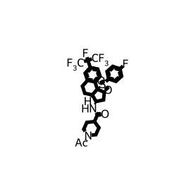 CC(=O)N1CCC(C(=O)N[C@@H]2CC[C@@]3(S(=O)(=O)c4ccc(F)cc4)c4ccc(C(F)(C(F)(F)F)C(F)(F)F)cc4CC[C@@H]23)CC1